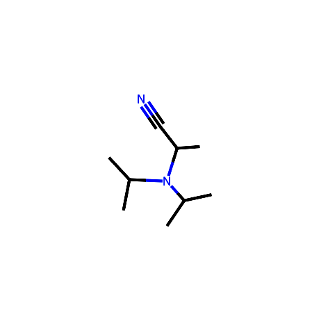 CC(C)N(C(C)C)C(C)C#N